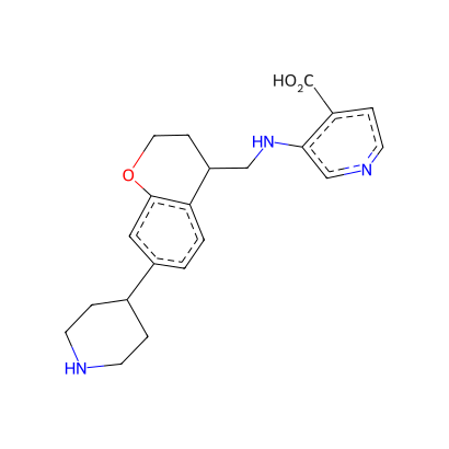 O=C(O)c1ccncc1NCC1CCOc2cc(C3CCNCC3)ccc21